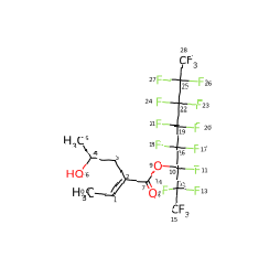 CC=C(CC(C)O)C(=O)OC(F)(C(F)(F)C(F)(F)F)C(F)(F)C(F)(F)C(F)(F)C(F)(F)C(F)(F)F